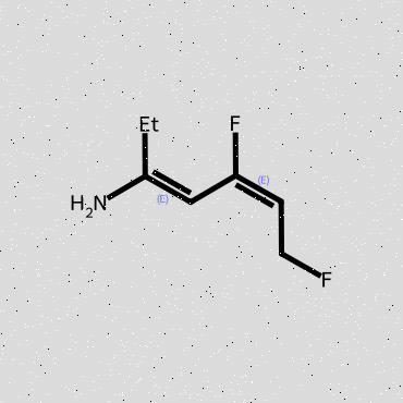 CC/C(N)=C\C(F)=C/CF